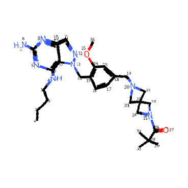 CCCCNc1nc(N)nc2cnn(Cc3ccc(CN4CC5(C4)CN(C(=O)C(C)(C)C)C5)cc3OC)c12